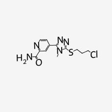 Cn1c(SCCCCl)nnc1-c1ccnc(C(N)=O)c1